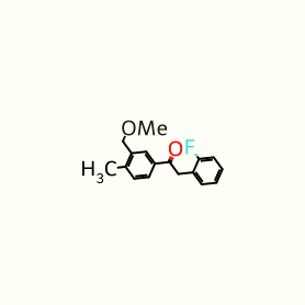 COCc1cc(C(=O)Cc2ccccc2F)ccc1C